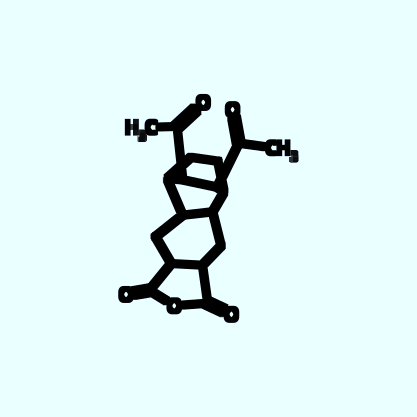 CC(=O)C1C2CCC(C3CC4C(=O)OC(=O)C4CC32)C1C(C)=O